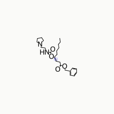 CCCCCC/C(=C\CC(=O)OCc1ccccc1)OC(=O)NCCN1CCCC1